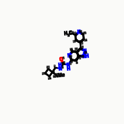 CNC1(CNC(=O)Nc2cc3[nH]nc(-c4ccnc(C)c4)c3cn2)CCC1